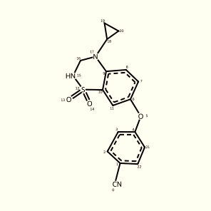 N#Cc1ccc(Oc2ccc3c(c2)S(=O)(=O)NCN3C2CC2)cc1